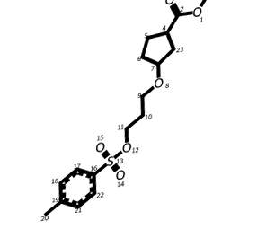 COC(=O)C1CCC(OCCCOS(=O)(=O)c2ccc(C)cc2)C1